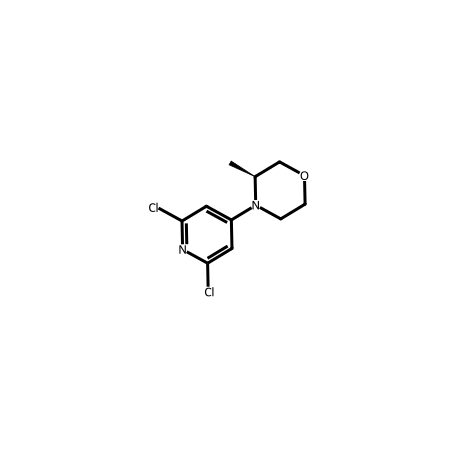 C[C@H]1COCCN1c1cc(Cl)nc(Cl)c1